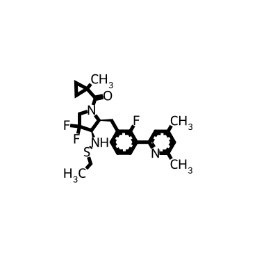 CCSN[C@@H]1[C@H](Cc2cccc(-c3cc(C)cc(C)n3)c2F)N(C(=O)C2(C)CC2)CC1(F)F